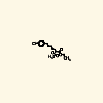 CCOC(=O)C(CCCCCc1ccc(Cl)cc1)S(C)(=O)=O